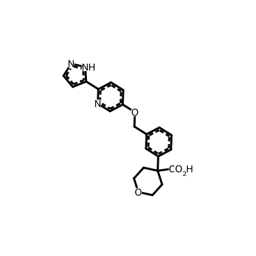 O=C(O)C1(c2cccc(COc3ccc(-c4ccn[nH]4)nc3)c2)CCOCC1